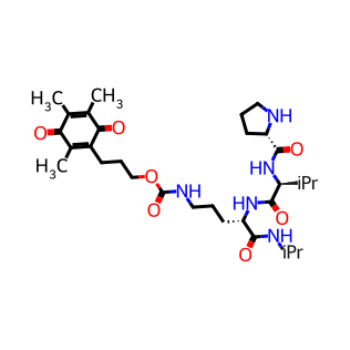 CC1=C(C)C(=O)C(CCCOC(=O)NCCC[C@H](NC(=O)[C@@H](NC(=O)[C@@H]2CCCN2)C(C)C)C(=O)NC(C)C)=C(C)C1=O